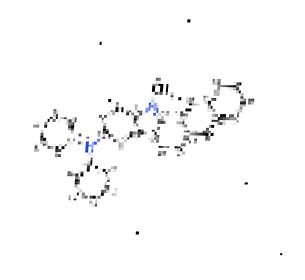 Cn1c2ccc(N(c3ccccc3)c3ccccc3)cc2c2ccc3cc4ccccc4cc3c21